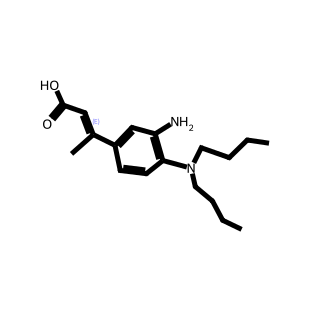 CCCCN(CCCC)c1ccc(/C(C)=C/C(=O)O)cc1N